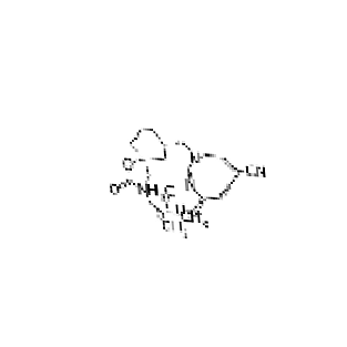 C=C1/C=C\C(C#N)=C/CN(C[C@H]2CCC[C@]3(C2)CN(C[Si](C)(C)C)C(=O)O3)/C=N\1